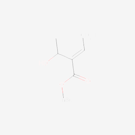 CCCCOC(=O)C(=CC(=O)O)C(C)O